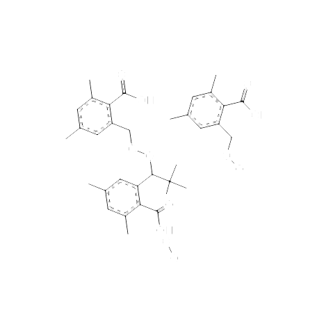 Cc1cc(C)c(C(=O)O)c(COOC(c2cc(C)cc(C)c2C(=O)O)C(C)(C)C)c1.Cc1cc(C)c(C(=O)O)c(CO[O])c1.[O][O]